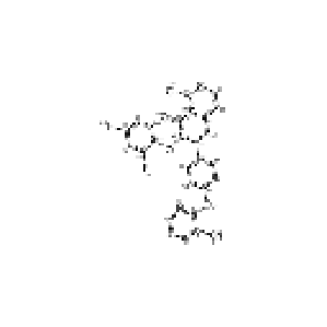 N#Cc1cccnc1Oc1ccc(-c2cc3cccc(Cl)c3c(=O)n2Cc2ccc(F)cc2F)cc1